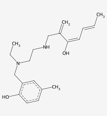 C=C(CNCCN(CC)Cc1cc(C)ccc1O)/C(O)=C\C=C\C